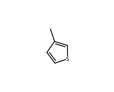 Cc1[c]csc1